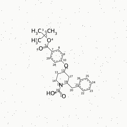 CC(C)(C)OC(=O)c1ccc(OC2CCN(C(=O)O)C(Cc3ccccc3)C2)cc1